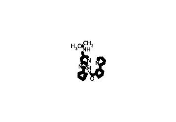 CC(C)NCc1cnc2sc(-c3ccccc3NC(=O)c3cccc(-c4ccccn4)c3)nc2c1